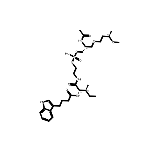 CC[C@H](C)[C@H](NC(=O)CCCc1c[nH]c2ccccc12)C(=O)NCCOP(=O)(O)OC[C@@H](COCC[C@@H](C)OC)NC(C)=O